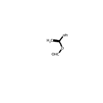 C=C(CCC)O[C]=O